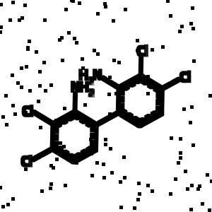 Nc1c(-c2ccc(Cl)c(Cl)c2N)ccc(Cl)c1Cl